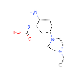 CCN1CCN(C2CCC(N)C(NC(=O)O)C2)CC1